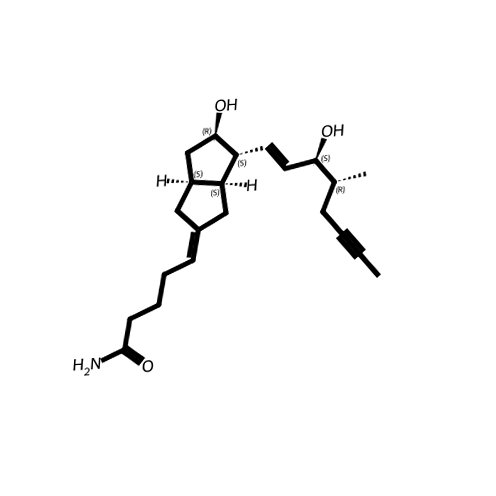 CC#CC[C@@H](C)[C@H](O)C=C[C@@H]1[C@H]2CC(=CCCCC(N)=O)C[C@H]2C[C@H]1O